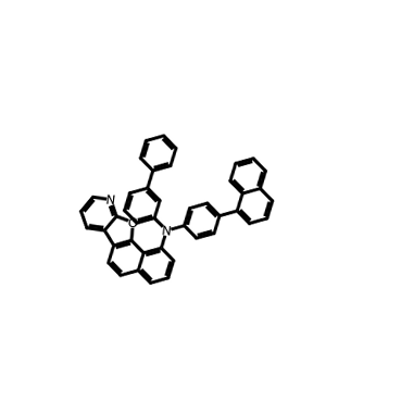 c1ccc(-c2cccc(N(c3ccc(-c4cccc5ccccc45)cc3)c3cccc4ccc5c6cccnc6oc5c34)c2)cc1